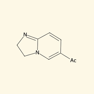 CC(=O)C1=CN2CCN=C2C=C1